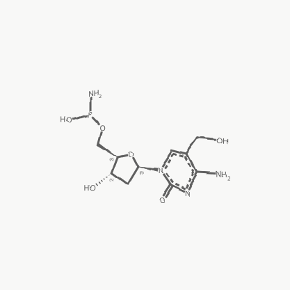 Nc1nc(=O)n([C@H]2C[C@H](O)[C@@H](COP(N)O)O2)cc1CO